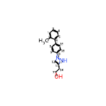 Cc1ccccc1-c1ccc(-n2cc(CCO)[nH]2)cc1